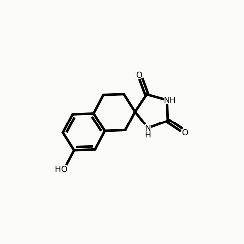 O=C1NC(=O)C2(CCc3ccc(O)cc3C2)N1